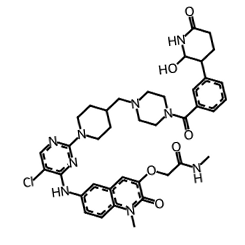 CNC(=O)COc1cc2cc(Nc3nc(N4CCC(CN5CCN(C(=O)c6cccc(C7CCC(=O)NC7O)c6)CC5)CC4)ncc3Cl)ccc2n(C)c1=O